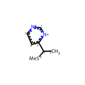 CSC(C)c1ccncn1